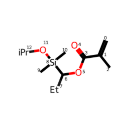 C=C(C)C(=O)OC(CC)[Si](C)(C)OC(C)C